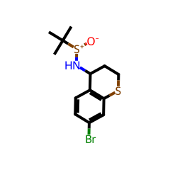 CC(C)(C)[S+]([O-])NC1CCSc2cc(Br)ccc21